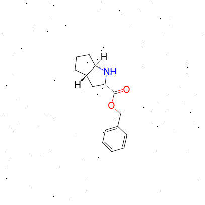 O=C(OCc1ccccc1)[C@@H]1C[C@@H]2CCC[C@H]2N1